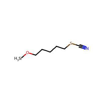 N#CSCCCCCO[SiH3]